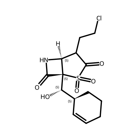 O=C1N[C@H]2C(CCCl)C(=O)S(=O)(=O)[C@@]12[C@@H](O)[C@@H]1C=CCCC1